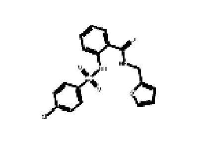 O=C(NCc1ccco1)c1ccccc1NS(=O)(=O)c1ccc(Cl)cc1